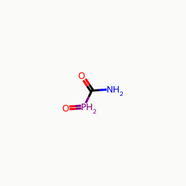 NC(=O)[PH2]=O